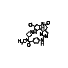 CN(C(=O)c1ccc(Nc2ncc3c(n2)-c2ccc(Cl)cc2NC(=O)C3)cc1)C1CCNC1